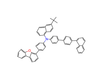 CC(C)(C)c1ccc2c(N(c3ccc(-c4ccc(-c5cccc6ccccc56)cc4)cc3)c3ccc(-c4cccc5c4oc4ccccc45)cc3)cccc2c1